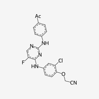 CC(=O)c1ccc(Nc2ncc(F)c(Nc3ccc(OCC#N)c(Cl)c3)n2)cc1